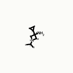 CC(C)N1CC(N)(C2CC2)C1